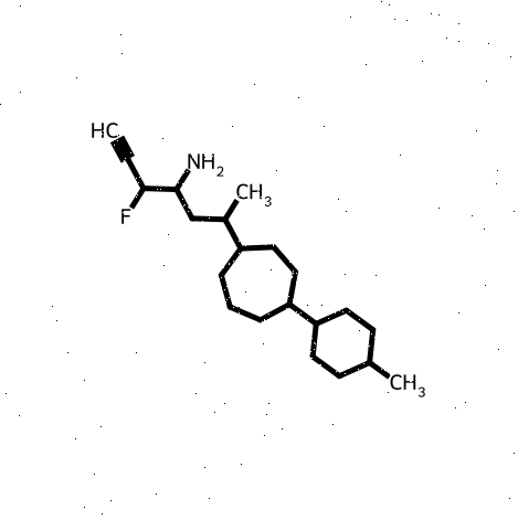 C#CC(F)C(N)CC(C)C1CCCC(C2CCC(C)CC2)CC1